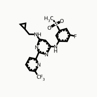 CS(=O)(=O)c1cc(F)cc(Nc2cc(NCC3CC3)nc(-c3cccc(C(F)(F)F)n3)n2)c1